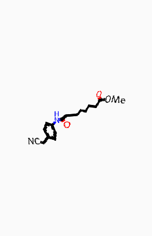 COC(=O)CCCCCCC(=O)Nc1ccc(CC#N)cc1